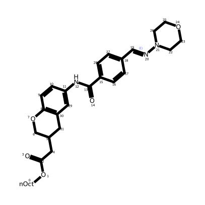 CCCCCCCCOC(=O)CC1COc2ccc(NC(=O)c3ccc(/C=N/N4CCOCC4)cc3)cc2C1